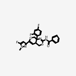 Cn1nc(C2=CC3CSC(NC(=O)c4ccccc4)=NC3(c3ccc(F)cc3F)CO2)cc1F